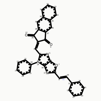 O=C1C(=Cc2nc3oc(/C=C/c4ccccc4)nc3n2-c2ccccc2)C(=O)c2cc3ccccc3cc21